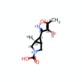 Cc1onc(C2C3CN(C(=O)O)C[C@H]32)c1Br